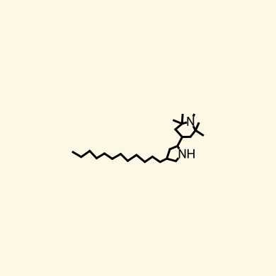 CCCCCCCCCCCCC1CNC(C2CC(C)(C)N(C)C(C)(C)C2)C1